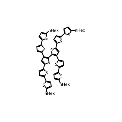 CCCCCCc1ccc(-c2ccc(-c3cc(-c4ccc(-c5ccc(CCCCCC)s5)s4)c(-c4sc(-c5ccc(-c6ccc(CCCCCC)s6)s5)cc4-c4ccc(-c5ccc(CCCCCC)s5)s4)s3)s2)s1